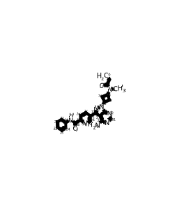 C=CC(=O)N(C)C1CC(n2nc(-c3ccc(C(=O)Nc4ccccc4)nc3)c3c(N)ncnc32)C1